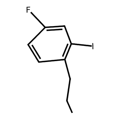 CCCc1ccc(F)cc1I